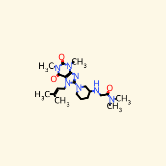 CC(C)=CCn1c(N2CCCC(NCC(=O)N(C)C)C2)nc2c1c(=O)n(C)c(=O)n2C